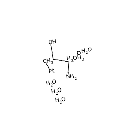 NCCO.O.O.O.O.O.O.[CH3][Pt]